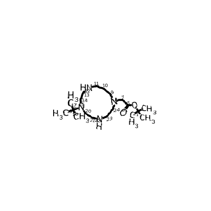 CC(C)(C)OC(=O)CN1CCCNCCN(C(C)(C)C)CCNCC1